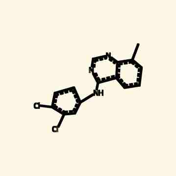 Cc1cccc2c(Nc3ccc(Cl)c(Cl)c3)ncnc12